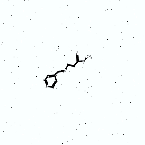 COC(=O)CCSCc1ccncc1